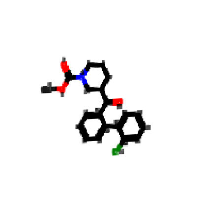 CC(C)(C)OC(=O)N1CCCC(C(=O)c2ccccc2-c2ccccc2Cl)C1